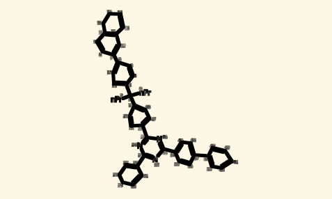 CCCC(CCC)(c1ccc(-c2ccc3c(c2)C=CCC3)cc1)c1ccc(-c2nc(C3=CCCC=C3)nc(-c3ccc(-c4ccccc4)cc3)n2)cc1